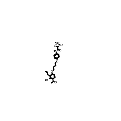 CCCc1c(OCCCCOc2ccc(NC(=O)c3nnn[nH]3)cc2)ccc(C(C)=O)c1O